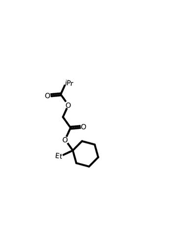 CCC1(OC(=O)COC(=O)C(C)C)CCCCC1